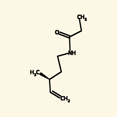 C=C[C@@H](C)CCNC(=O)CC